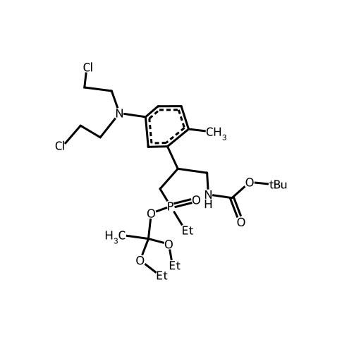 CCOC(C)(OCC)OP(=O)(CC)CC(CNC(=O)OC(C)(C)C)c1cc(N(CCCl)CCCl)ccc1C